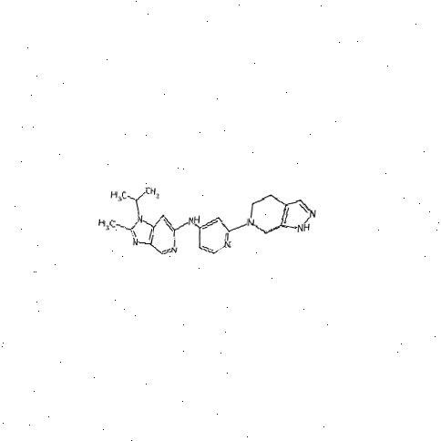 Cc1nc2cnc(Nc3ccnc(N4CCc5cn[nH]c5C4)c3)cc2n1C(C)C